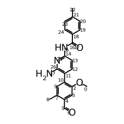 COc1cc(C=O)c(C)cc1-c1ccc(NC(=O)c2ccc(C)cc2)nc1N